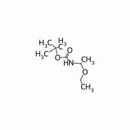 CCOC(C)NC(=O)OC(C)(C)C